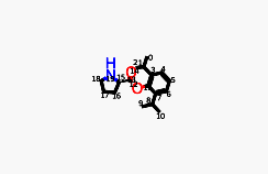 CC(C)c1cccc(C(C)C)c1OC(=O)[C@H]1CCCN1